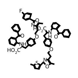 Cc1ccc(-c2nc(CCOc3ccc(CC(Nc4ccccc4C(=O)c4ccccc4)C(=O)O)cc3)c(C)o2)s1.Cc1oc(-c2ccc(F)cc2)nc1CCOc1ccc(C[C@H](Nc2ccccc2C(=O)c2ccccc2)C(=O)O)cc1